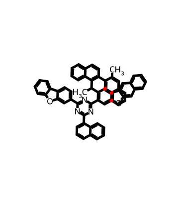 Cc1cc2ccccc2cc1-c1ccc2ccccc2c1C(C)c1cc2c(cc1-c1nc(-c3ccc4c(c3)oc3ccccc34)nc(-c3cccc4ccccc34)n1)oc1cc3ccccc3cc12